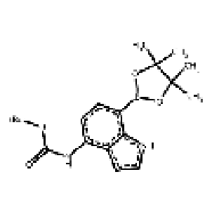 CC(C)(C)OC(=O)Nc1ccc(B2OC(C)(C)C(C)(C)O2)c2[nH]ccc12